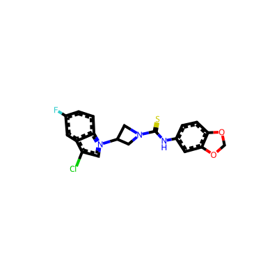 Fc1ccc2c(c1)c(Cl)cn2C1CN(C(=S)Nc2ccc3c(c2)OCO3)C1